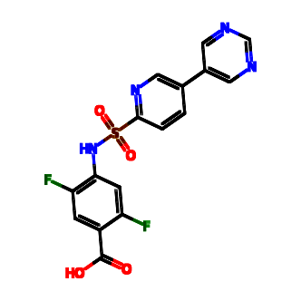 O=C(O)c1cc(F)c(NS(=O)(=O)c2ccc(-c3cncnc3)cn2)cc1F